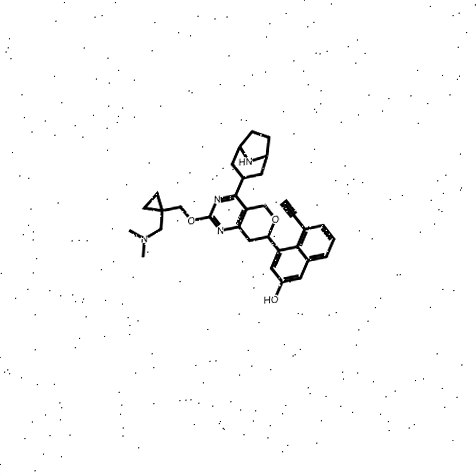 C#Cc1cccc2cc(O)cc(C3Cc4nc(OCC5(CN(C)C)CC5)nc(C5CC6CCC(C5)N6)c4CO3)c12